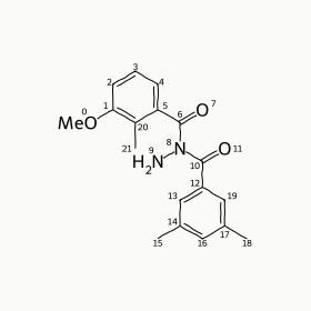 COc1cccc(C(=O)N(N)C(=O)c2cc(C)cc(C)c2)c1C